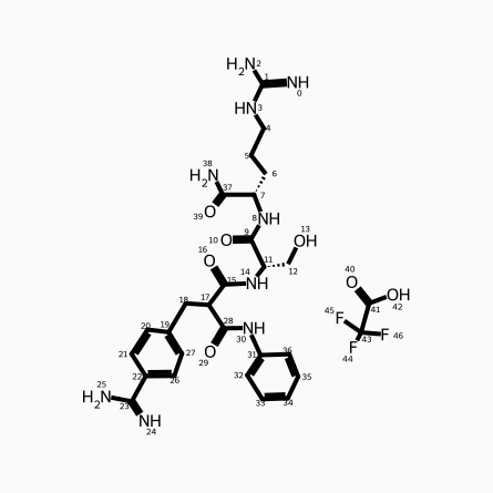 N=C(N)NCCC[C@H](NC(=O)[C@H](CO)NC(=O)C(Cc1ccc(C(=N)N)cc1)C(=O)Nc1ccccc1)C(N)=O.O=C(O)C(F)(F)F